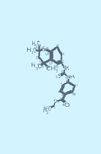 CCOC(=O)c1ccc(NC(=S)Nc2ccc3c(c2)C(C)(C)CC(C)(C)S3)cc1